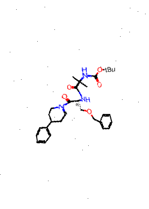 CC(C)(C)OC(=O)NC(C)(C)C(=O)N[C@H](COCc1ccccc1)C(=O)N1CCC(c2ccccc2)CC1